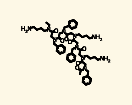 CCN(CCCCN)C(=O)CN(Cc1ccccc1)C(=O)CN(Cc1ccccc1)C(=O)CN(CCCCN)C(=O)CN(Cc1ccccc1)C(=O)CN(CCCCN)C(=O)CN(Cc1ccccc1)C(C)=O